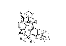 CN1CCN(C(=O)C2(NC(=O)c3cc(C(C)(C)C)nc(C(C)(C)C)c3)CCCC2)CC1